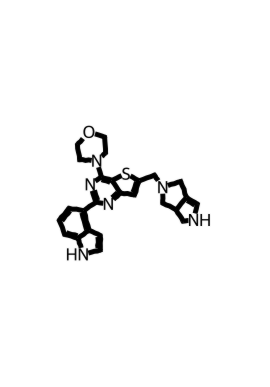 C1=C2CN(Cc3cc4nc(-c5cccc6[nH]ccc56)nc(N5CCOCC5)c4s3)CC2CN1